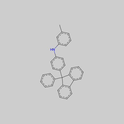 Cc1cccc(Nc2ccc(C3(c4ccccc4)c4ccccc4-c4ccccc43)cc2)c1